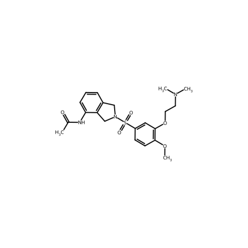 COc1ccc(S(=O)(=O)N2Cc3cccc(NC(C)=O)c3C2)cc1OCCN(C)C